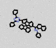 c1ccc(-c2nc(-c3ccccc3)nc(-c3ccc4c(c3)C3(c5ccccc5-c5ccccc53)c3cc(-c5nn(-c6ccccc6)c6c5ccc5ccccc56)ccc3-4)n2)cc1